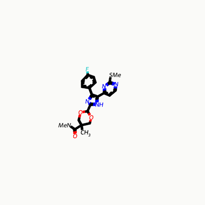 CNC(=O)C1(C)COC(c2nc(-c3ccc(F)cc3)c(-c3ccnc(SC)n3)[nH]2)OC1